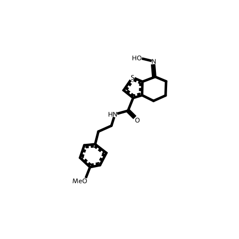 COc1ccc(CCNC(=O)c2csc3c2CCC/C3=N/O)cc1